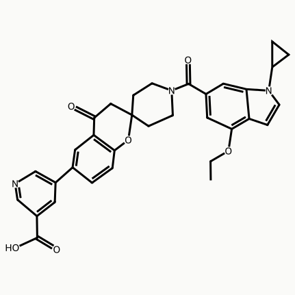 CCOc1cc(C(=O)N2CCC3(CC2)CC(=O)c2cc(-c4cncc(C(=O)O)c4)ccc2O3)cc2c1ccn2C1CC1